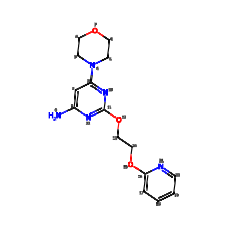 Nc1cc(N2CCOCC2)nc(OCCOc2ccccn2)n1